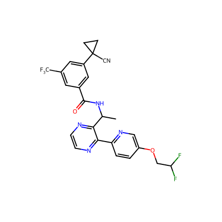 CC(NC(=O)c1cc(C(F)(F)F)cc(C2(C#N)CC2)c1)c1nccnc1-c1ccc(OCC(F)F)cn1